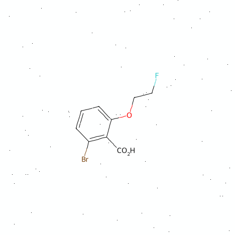 O=C(O)c1c(Br)cccc1OCCF